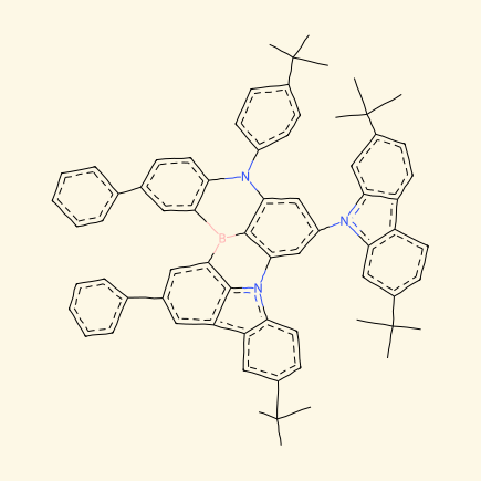 CC(C)(C)c1ccc(N2c3ccc(-c4ccccc4)cc3B3c4c2cc(-n2c5cc(C(C)(C)C)ccc5c5ccc(C(C)(C)C)cc52)cc4-n2c4ccc(C(C)(C)C)cc4c4cc(-c5ccccc5)cc3c42)cc1